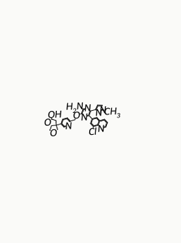 Cn1ccc(-c2nc(N)c(OCc3ccc(C4(CC(=O)O)CCOC4)cn3)nc2-c2cc(Cl)c3ncccc3c2)n1